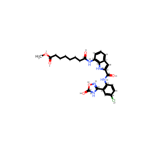 COC(=O)CCCCCCC(=O)Nc1cccc2cc(C(=O)Nc3ccc(Cl)cc3-c3noc(=O)[nH]3)[nH]c12